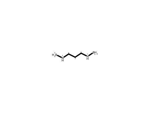 BNCCCNB